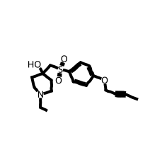 CC#CCOc1ccc(S(=O)(=O)CC2(O)CCN(CC)CC2)cc1